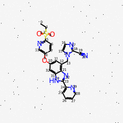 CCS(=O)(=O)c1ccc(Oc2cc(Cn3ccnc3C#N)c3nc(-c4ccccn4)[nH]c3c2)cn1